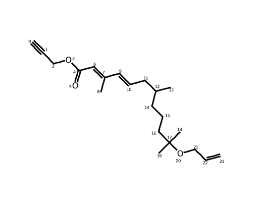 C#CCOC(=O)/C=C(C)/C=C/CC(C)CCCC(C)(C)OCC=C